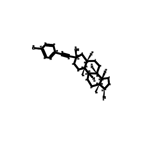 CC[C@H]1CC[C@H]2[C@@H]3CC[C@@H]4C[C@@](O)(C#Cc5ccc(Cl)cc5)CC[C@]4(C)[C@H]3CC[C@]12C